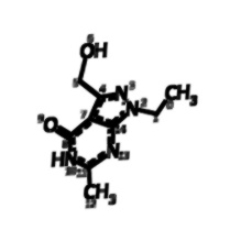 CCn1nc(CO)c2c(=O)[nH]c(C)nc21